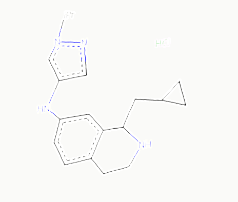 CC(C)n1cc(Nc2ccc3c(c2)C(CC2CC2)NCC3)cn1.Cl